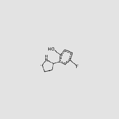 Oc1ccc(F)cc1C1CC[CH]N1